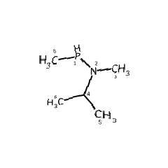 CPN(C)C(C)C